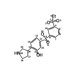 CCS(=O)(=O)c1cccc(S(=O)(=O)c2ccc(C3CCNC3)c(O)c2)c1